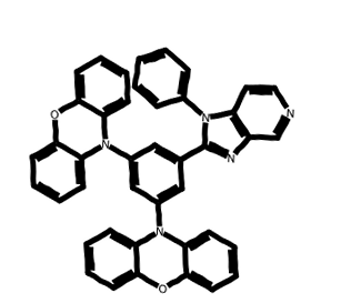 c1ccc(-n2c(-c3cc(N4c5ccccc5Oc5ccccc54)cc(N4c5ccccc5Oc5ccccc54)c3)nc3cnccc32)cc1